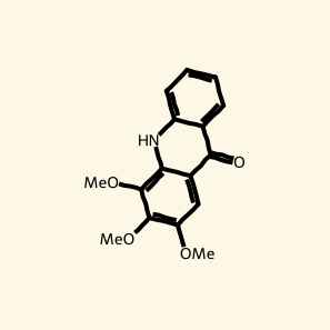 COc1cc2c(=O)c3ccccc3[nH]c2c(OC)c1OC